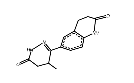 CC1CC(=O)NN=C1c1ccc2c(c1)CCC(=O)N2